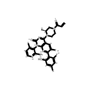 C=CC(=O)N1CCN(c2nc(=O)n(-c3c(C)ccnc3C(C)C)c3nc(-c4c(O)cc(C)cc4F)c(F)cc23)[C@@H](C)C1